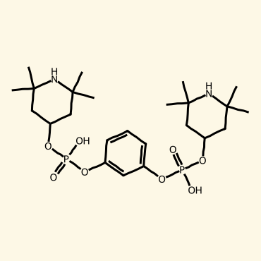 CC1(C)CC(OP(=O)(O)Oc2cccc(OP(=O)(O)OC3CC(C)(C)NC(C)(C)C3)c2)CC(C)(C)N1